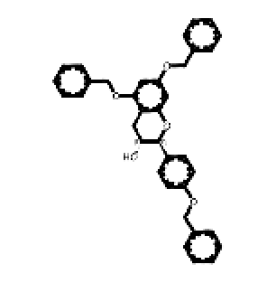 O[C@@H]1Cc2c(OCc3ccccc3)cc(OCc3ccccc3)cc2O[C@H]1c1ccc(OCc2ccccc2)cc1